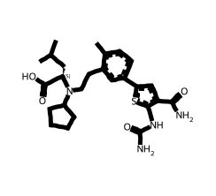 Cc1ccc(-c2cc(C(N)=O)c(NC(N)=O)s2)cc1CCN(C1CCCC1)[C@@H](CC(C)C)C(=O)O